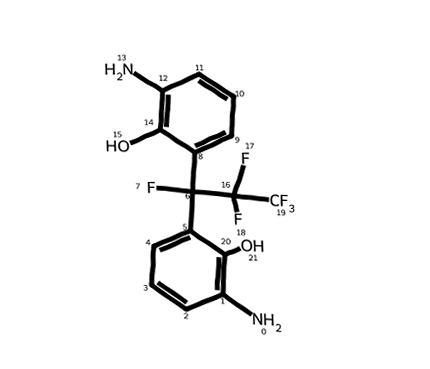 Nc1cccc(C(F)(c2cccc(N)c2O)C(F)(F)C(F)(F)F)c1O